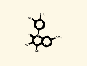 COc1ccc2c(N)c(C#N)c(=O)n(-c3ccc(C)c(C#N)c3)c2c1